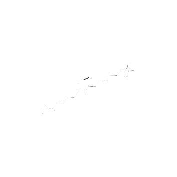 C=C.CCCCCCCCCCCCCCCC[N+](C)(C)C.[Br-]